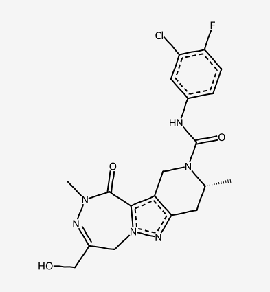 C[C@@H]1Cc2nn3c(c2CN1C(=O)Nc1ccc(F)c(Cl)c1)C(=O)N(C)N=C(CO)C3